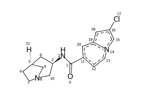 O=C(N[C@@H]1C[C@@H]2CCN(C2)C1)c1ccn2cc(Cl)cc2c1